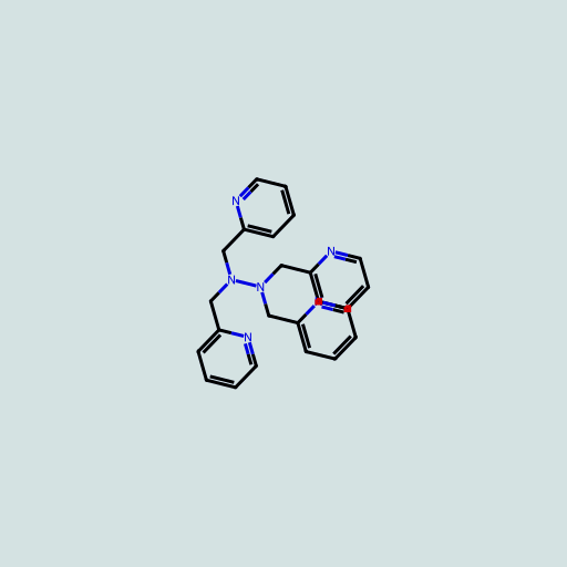 c1ccc(CN(Cc2ccccn2)N(Cc2ccccn2)Cc2ccccn2)nc1